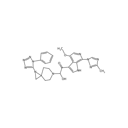 COc1cnc(-n2cnc(C)n2)c2[nH]cc(C(=O)C(O)N3CCC4(CC3)CN4c3nnnn3-c3ccccc3)c12